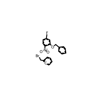 BrCc1ccccc1.O=[N+]([O-])c1ccc(F)cc1OCc1ccccc1